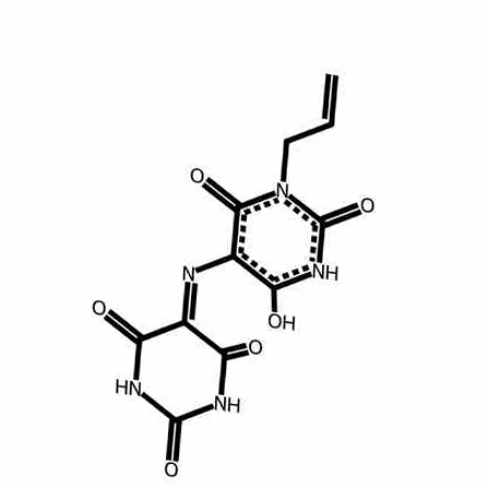 C=CCn1c(=O)[nH]c(O)c(N=C2C(=O)NC(=O)NC2=O)c1=O